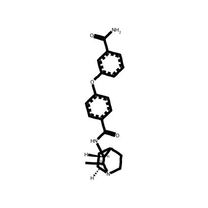 C[C@H]1[C@H](NC(=O)c2ccc(Oc3cccc(C(N)=O)c3)cc2)C2CCN1CC2